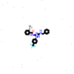 Cc1ccccc1C(=O)Nc1nc(NCc2ccccc2)nn1-c1ccc(C(F)(F)F)cc1